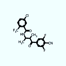 CC(NC(=O)c1cc(Cl)ccc1C(F)(F)F)C(C)C(=O)c1cc(F)c(C#N)c(F)c1